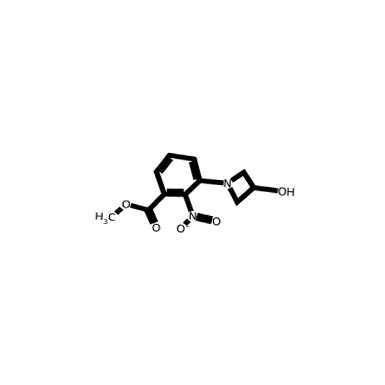 COC(=O)c1cccc(N2CC(O)C2)c1[N+](=O)[O-]